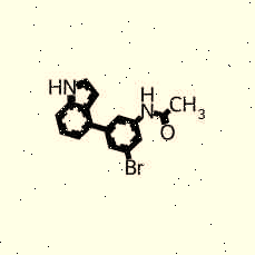 CC(=O)Nc1cc(Br)cc(-c2cccc3[nH]ccc23)c1